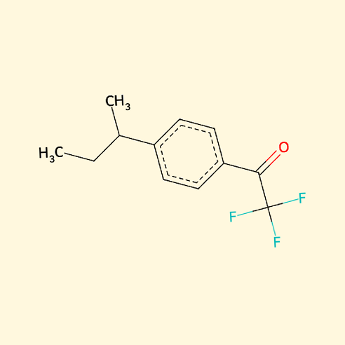 CCC(C)c1ccc(C(=O)C(F)(F)F)cc1